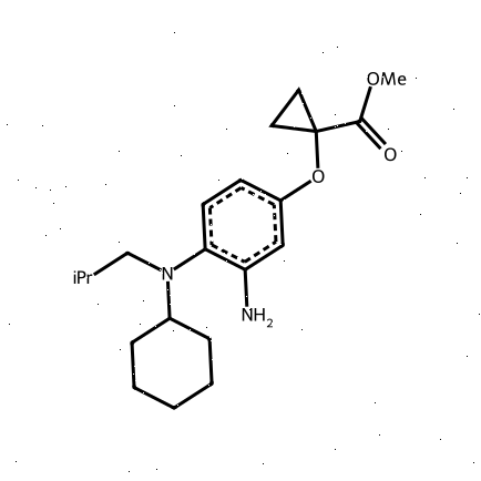 COC(=O)C1(Oc2ccc(N(CC(C)C)C3CCCCC3)c(N)c2)CC1